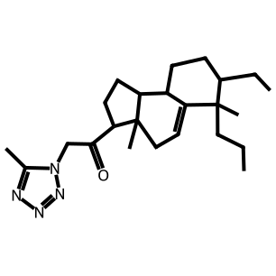 CCCC1(C)C2=CCC3(C)C(C(=O)Cn4nnnc4C)CCC3C2CCC1CC